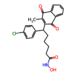 CC1=C(C(CCCCC(=O)NO)c2ccc(Cl)cc2)C(=O)c2ccccc2C1=O